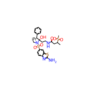 CC(C)CN(C(O)(CCNC(=O)CC(C)S(C)(=O)=O)Cc1ccccc1)S(=O)(=O)c1ccc2nc(N)sc2c1